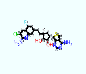 C[C@]1(CCc2cc(F)c3cc(Cl)c(N)nc3c2)C[C@@H](c2scc3c(N)ncnc23)[C@H](O)[C@@H]1O